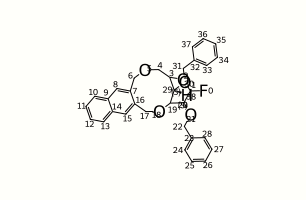 FC1OC2COCc3cc4ccccc4cc3COC([C@@H]1OCc1ccccc1)[C@H]2OCc1ccccc1